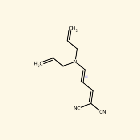 C=CCN(/C=C/C=C(C#N)C#N)CC=C